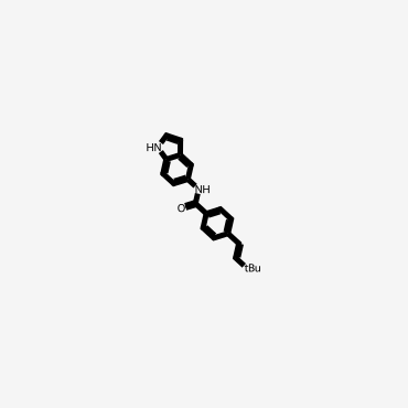 CC(C)(C)C=Cc1ccc(C(=O)Nc2ccc3[nH]ccc3c2)cc1